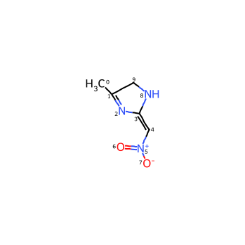 CC1=NC(=C[N+](=O)[O-])NC1